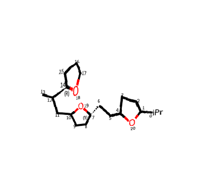 CC(C)C1CCC(CC[C@@H]2CCC(CC(C)[C@H]3CCCO3)O2)O1